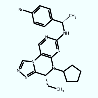 CC[C@@H]1c2nncn2-c2cnc(N[C@@H](C)c3ccc(Br)cc3)nc2N1C1CCCC1